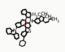 C=C/C=C\C1=C(C)C(C)(C)c2cc(N(c3ccc4c(c3)sc3cc(C5CCCCC5)ccc34)c3ccc4ccccc4c3-c3ccc4cc(-n5c6ccccc6c6ccccc65)ccc4c3)ccc21